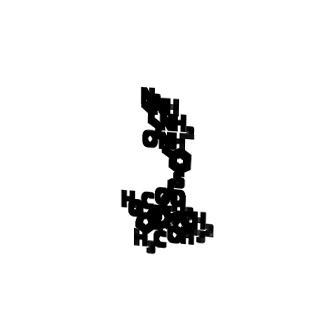 C=C[C@]1(C)C[C@@H](OC(=O)CSc2cccc(CNC(=O)[C@H](N)Cc3cnc[nH]3)c2)[C@]2(C)C(C)CCC3(CCC(=O)C32)[C@@H](C)[C@@H]1O